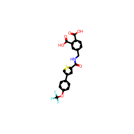 O=C(NCc1ccc(C(=O)O)c(C(=O)O)c1)c1cc(-c2ccc(OC(F)(F)F)cc2)cs1